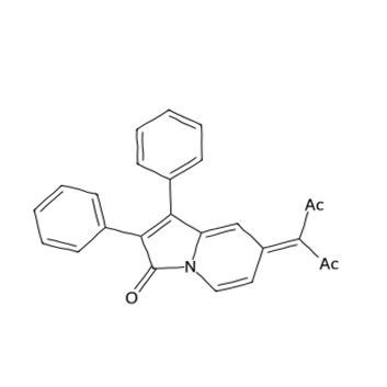 CC(=O)C(C(C)=O)=C1C=CN2C(=O)C(c3ccccc3)=C(c3ccccc3)C2=C1